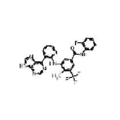 Cc1c(Nc2ncccc2-c2ncnc3[nH]cnc23)cc(C(=O)Nc2ccccc2F)cc1C(F)(F)F